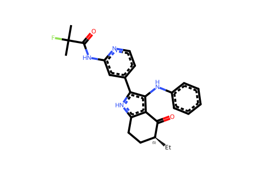 CC[C@H]1CCc2[nH]c(-c3ccnc(NC(=O)C(C)(C)F)c3)c(Nc3ccccc3)c2C1=O